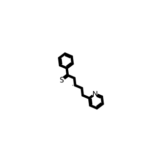 S=C(C[CH]CCc1ccccn1)c1ccccc1